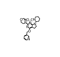 O=C(O)N1CCCCC1N1CCc2c(OCc3cccnc3)nc(N3CCOCC3)nc21